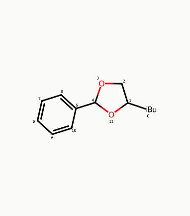 CCC(C)C1COC(c2ccccc2)O1